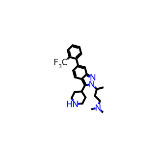 CC(CCN(C)C)n1nc2cc(-c3ccccc3C(F)(F)F)ccc2c1C1CCNCC1